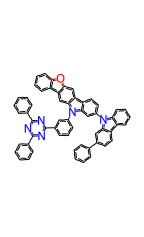 c1ccc(-c2ccc3c4ccccc4n(-c4ccc5c6cc7oc8ccccc8c7cc6n(-c6cccc(-c7nc(-c8ccccc8)nc(-c8ccccc8)n7)c6)c5c4)c3c2)cc1